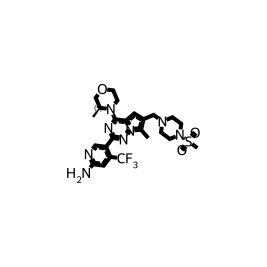 Cc1c(CN2CCN(S(C)(=O)=O)CC2)cc2c(N3CCOC[C@@H]3C)nc(-c3cnc(N)cc3C(F)(F)F)nn12